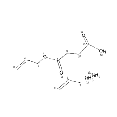 C=CC.C=CCOC(=O)CCC(=O)O.N.N